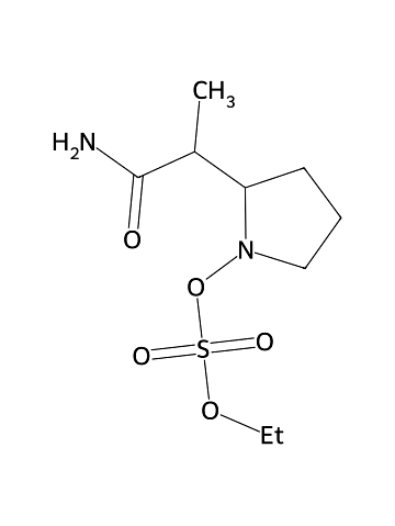 CCOS(=O)(=O)ON1CCCC1C(C)C(N)=O